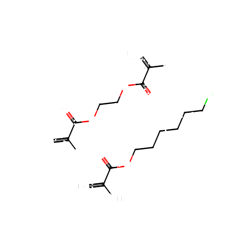 C=C(C)C(=O)OCCCCCCCl.C=C(C)C(=O)OCCOC(=O)C(=C)C